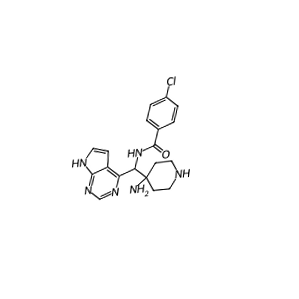 NC1(C(NC(=O)c2ccc(Cl)cc2)c2ncnc3[nH]ccc23)CCNCC1